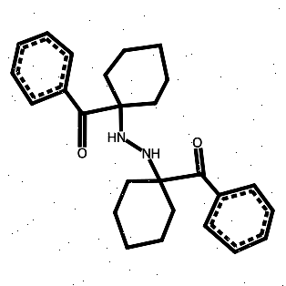 O=C(c1ccccc1)C1(NNC2(C(=O)c3ccccc3)CCCCC2)CCCCC1